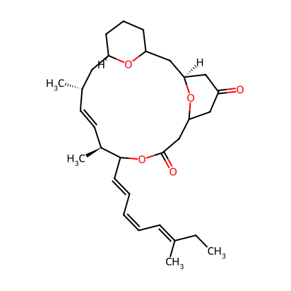 CC/C(C)=C/C=C\C=C\C1OC(=O)CC2CC(=O)C[C@H](CC3CCC[C@H](C[C@@H](C)/C=C/[C@@H]1C)O3)O2